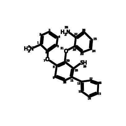 Nc1ccccc1Oc1ccc(-c2ccccc2)c(S)c1Oc1ccccc1N